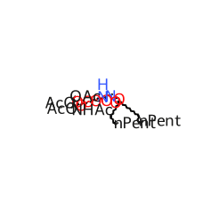 CCCCC/C=C\C/C=C\CCCCCCCCC1(CCCCC/C=C\C/C=C\CCCCC)OC[C@H](CN(C)CC(=O)NCCOCCOCCO[C@@H]2OC(COC(C)=O)[C@H](OC(C)=O)C(OC(C)=O)C2NC(C)=O)O1